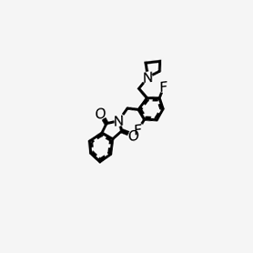 O=C1c2ccccc2C(=O)N1Cc1c(F)ccc(F)c1CN1CCC1